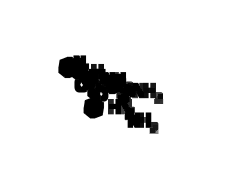 NCCNCCN(CCN)C(=O)CN(N)C(=O)N[C@@H](CCc1ccccc1)C(=O)Nc1cnc2ccccc2c1